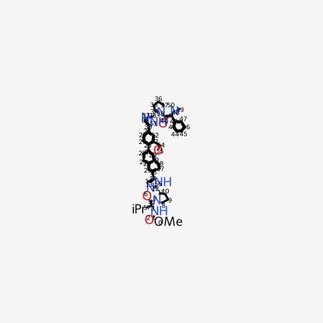 COC(=O)NC(C(=O)N1CCC[C@H]1c1ncc(-c2ccc3c4c(ccc3c2)-c2ccc(-c3cnc([C@@H]5CCCN5C(=O)C(c5ccccc5)N(C)C)[nH]3)cc2CO4)[nH]1)C(C)C